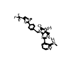 CNc1ncccc1-c1ncc2[nH]c(=O)n(Cc3ccc(-c4nc(C(F)(F)F)cn4C)cc3)c2n1